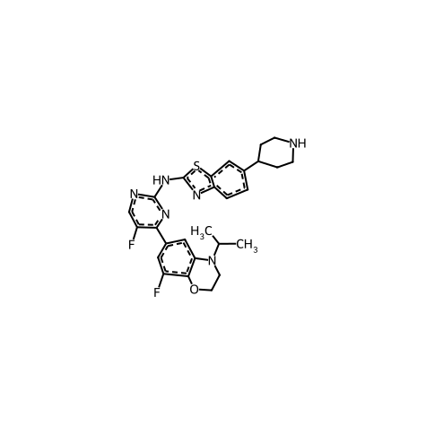 CC(C)N1CCOc2c(F)cc(-c3nc(Nc4nc5ccc(C6CCNCC6)cc5s4)ncc3F)cc21